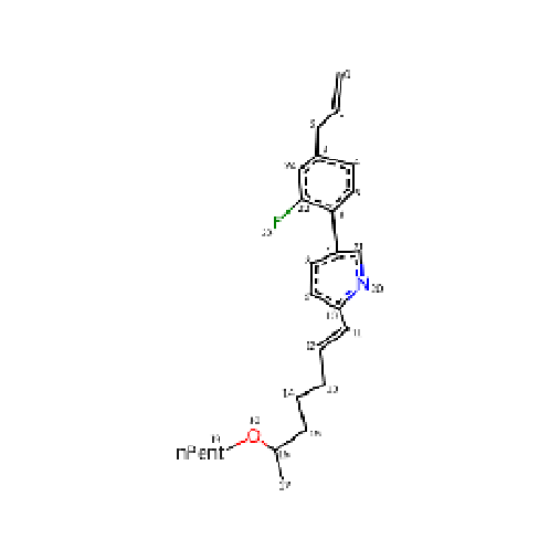 C=CCc1ccc(-c2ccc(C=CCCCC(C)OCCCCC)nc2)c(F)c1